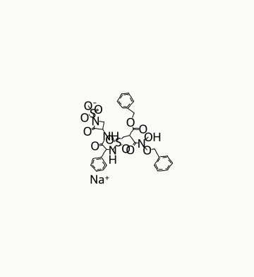 O=C(OCc1ccccc1)C(CS(=O)(=O)NC(C(=O)NC1CN(S(=O)(=O)[O-])C1=O)c1ccccc1)C(=O)N(O)OCc1ccccc1.[Na+]